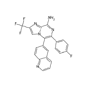 Nc1nc(-c2ccc(F)cc2)c(-c2ccc3ncccc3c2)n2cc(C(F)(F)F)nc12